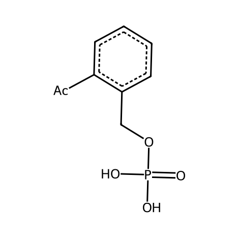 CC(=O)c1ccccc1COP(=O)(O)O